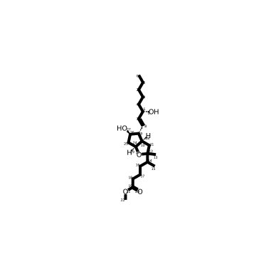 CCCCC[C@H](O)/C=C/[C@@H]1[C@H]2CC(C)(C(C)CCCC(=O)OC)O[C@H]2C[C@H]1O